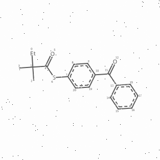 CCC(C)(C)C(=O)Sc1ccc(C(=O)c2ccccc2)cc1